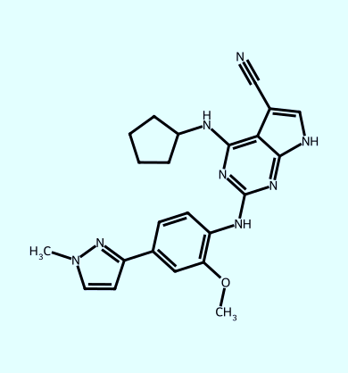 COc1cc(-c2ccn(C)n2)ccc1Nc1nc(NC2CCCC2)c2c(C#N)c[nH]c2n1